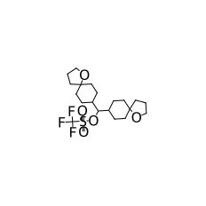 O=S(=O)(OC(C1CCC2(CCCO2)CC1)C1CCC2(CCCO2)CC1)C(F)(F)F